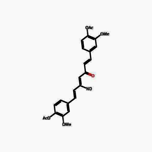 COc1cc(/C=C/C(=O)/C=C(/C=C/c2ccc(OC(C)=O)c(OC)c2)N=O)ccc1OC(C)=O